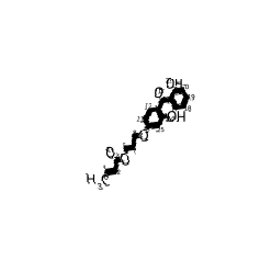 CC=CC(=O)OCCCOc1ccc(C(=O)c2ccccc2O)c(O)c1